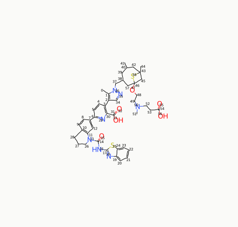 Cc1c(-c2ccc(-c3ccc4c(c3)N(C(=O)Nc3nc5ccccc5s3)CCC4)nc2C(=O)O)cnn1CC1CC(C)CC2(C)CC(OCCN(C)CCC(=O)O)(C1)S2